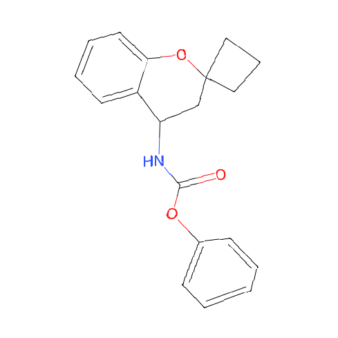 O=C(NC1CC2(CCC2)Oc2ccccc21)Oc1ccccc1